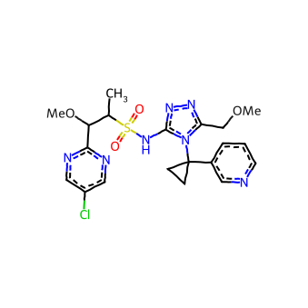 COCc1nnc(NS(=O)(=O)C(C)C(OC)c2ncc(Cl)cn2)n1C1(c2cccnc2)CC1